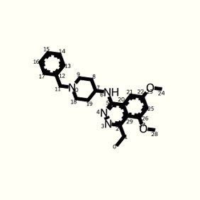 CCc1nnc(NC2CCN(Cc3ccccc3)CC2)c2cc(OC)cc(OC)c12